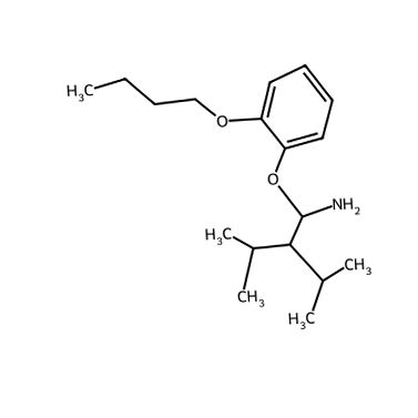 CCCCOc1ccccc1OC(N)C(C(C)C)C(C)C